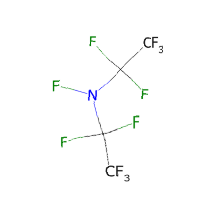 FN(C(F)(F)C(F)(F)F)C(F)(F)C(F)(F)F